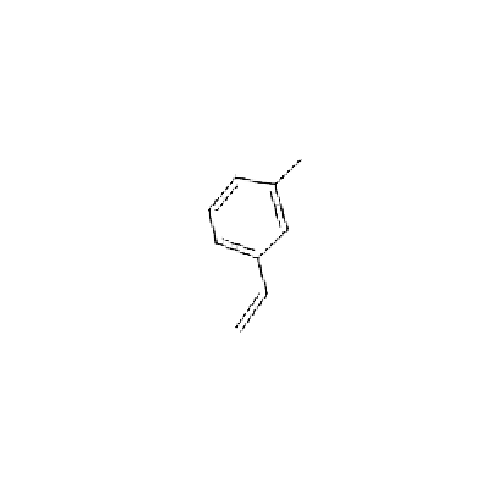 C=Cc1cc[c]c(C)c1